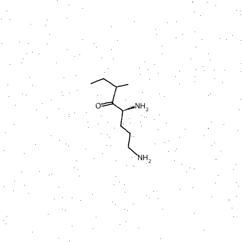 CCC(C)C(=O)[C@@H](N)CCCN